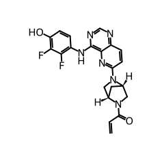 C=CC(=O)N1C[C@@H]2C[C@H]1CN2c1ccc2ncnc(Nc3ccc(O)c(F)c3F)c2n1